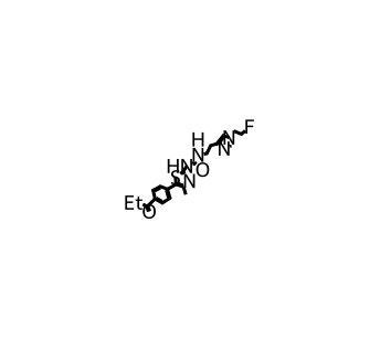 CCC(=O)c1ccc(-c2sc(NC(=O)NCCc3cn(CCF)cn3)nc2C)cc1